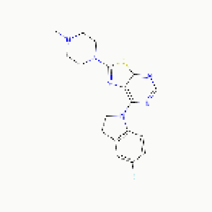 CN1CCN(c2nc3c(N4CCc5cc(F)ccc54)ncnc3s2)CC1